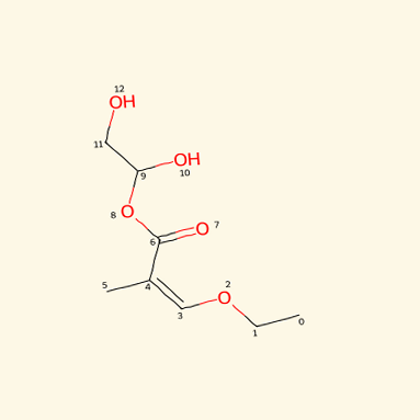 CCOC=C(C)C(=O)OC(O)CO